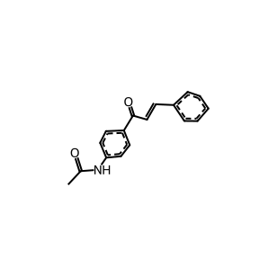 CC(=O)Nc1ccc(C(=O)C=Cc2ccccc2)cc1